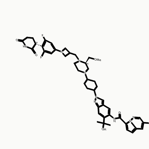 COC[C@H]1CN(C2CCC(n3cc4cc(NC(=O)c5ccc6cc(C#N)cnn56)c(C(C)(C)O)cc4n3)CC2)CCN1CC1CN(c2cc(F)c([C@H]3CCC(=O)NC3=O)c(F)c2)C1